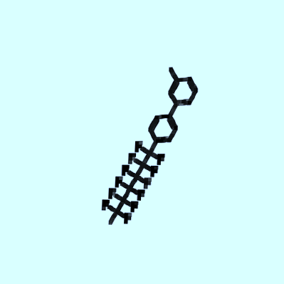 Cc1cccc(-c2ccc(C(F)(F)C(F)(F)C(F)(F)C(F)(F)C(F)(F)C(C)(F)F)cc2)c1